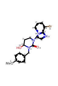 COc1ccc(CN2C(=O)N(c3cnc4c(Br)cccn34)CCC2O)cc1